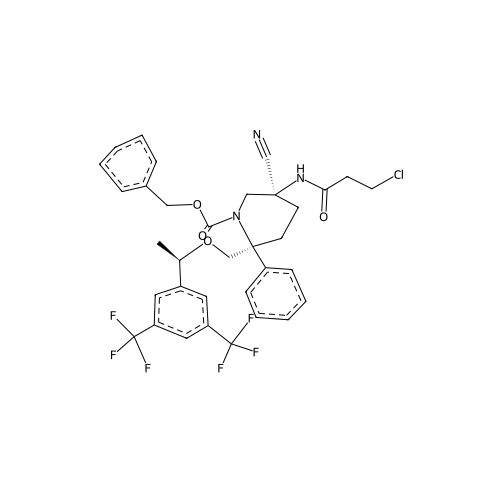 C[C@@H](OC[C@@]1(c2ccccc2)CC[C@](C#N)(NC(=O)CCCl)CN1C(=O)OCc1ccccc1)c1cc(C(F)(F)F)cc(C(F)(F)F)c1